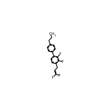 CCCc1ccc(-c2ccc(CC=C(F)F)c(F)c2F)cc1